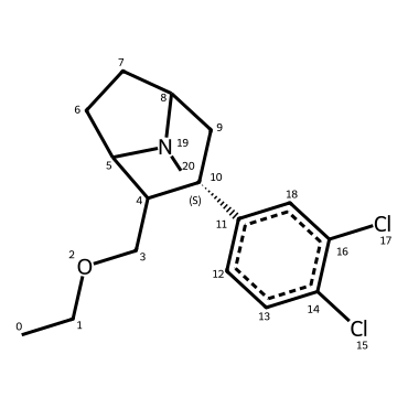 CCOCC1C2CCC(C[C@@H]1c1ccc(Cl)c(Cl)c1)N2C